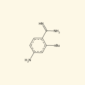 CCCCc1cc(N)ccc1C(=N)N